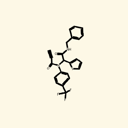 C#CC(=O)N(c1ccc(C(F)(F)F)cc1)C(C(=O)NCc1ccccc1)c1cccs1